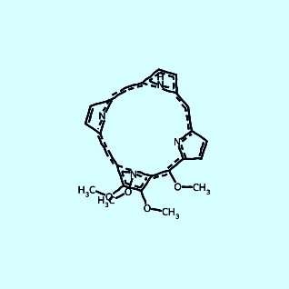 COc1c(OC)c2c(OC)c3nc(cc4ccc(cc5nc(cc1n2OC)C=C5)[nH]4)C=C3